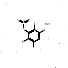 O=[SH](=O)Oc1c(F)c(F)cc(F)c1F.[NaH]